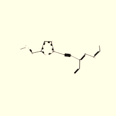 C=C/C(C#Cc1ccc(/C=N/O)s1)=C\C=C/C